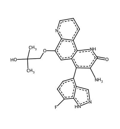 CC(C)(O)COc1cc2c(-c3ccc(F)c4[nH]ncc34)c(N)c(=O)[nH]c2c2cccnc12